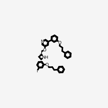 Ic1cccc(OCCCc2ccccc2)c1.c1ccc(CCCOc2cccc(-c3cncc(OC[C@@H]4CCN4)c3)c2)cc1